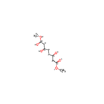 COC(=O)CC(=O)CCC(=O)CC(=O)OC